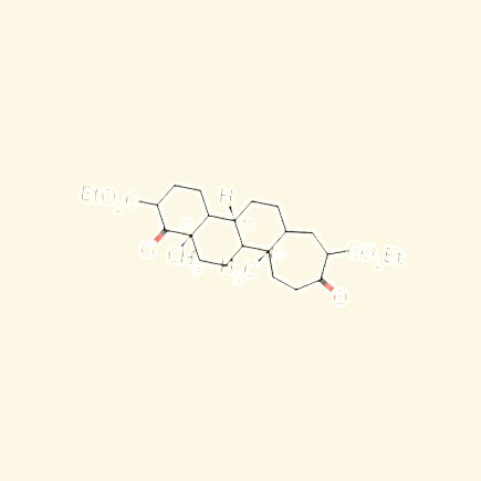 CCOC(=O)C1CC2CC[C@@H]3C(CC[C@]4(C)C(=O)C(C(=O)OCC)CCC34)[C@@]2(C)CCC1=O